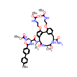 CCCCc1ccc(-c2ccc(C(=O)N[C@@H](CNC(=O)OC(C)(C)C)C(=O)N(C)[C@@H]3C(=O)N[C@@H](C)C(=O)N[C@H](C(N)=O)Cc4ccc(OCCNC(=O)OC(C)(C)C)c(c4)-c4cc3ccc4OCCNC(=O)OC(C)(C)C)cc2)cc1